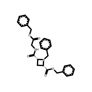 O=C(CNC(=O)[C@H]1C[C@@H](C(=O)OCc2ccccc2)N1Cc1ccccc1)OCc1ccccc1